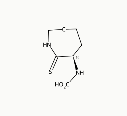 O=C(O)N[C@@H]1CCCCNC1=S